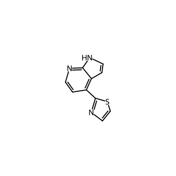 c1csc(-c2ccnc3[nH]ccc23)n1